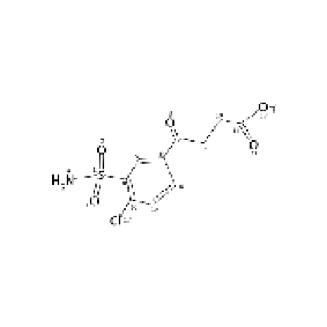 NS(=O)(=O)c1cc(C(=O)CCC(=O)O)ccc1Cl